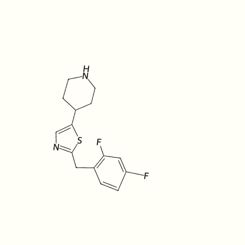 Fc1ccc(Cc2ncc(C3CCNCC3)s2)c(F)c1